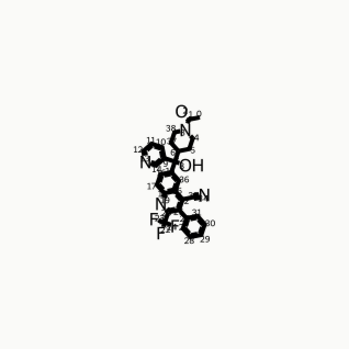 CC(=O)N1CCC(C(O)(c2cccnc2)c2ccc3nc(C(F)(F)F)c(-c4ccccc4)c(C#N)c3c2)CC1